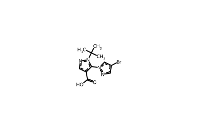 CC(C)(C)n1ncc(C(=O)O)c1-n1cc(Br)cn1